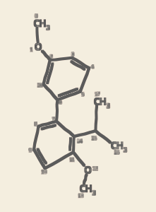 COc1cccc(-c2cccc(OC)c2C(C)C)c1